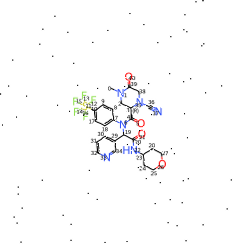 CN1C[C@H](C(=O)N(c2ccc(S(F)(F)(F)(F)F)cc2)C(C(=O)NC2CCOCC2)c2cccnc2)N(C#N)CC1=O